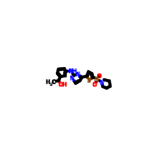 CC(O)c1cccc(Nc2nccc(-c3ccc(S(=O)(=O)N4CCCCC4)s3)n2)c1